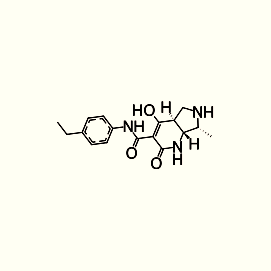 CCc1ccc(NC(=O)C2=C(O)[C@H]3CN[C@H](C)[C@@H]3NC2=O)cc1